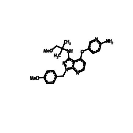 COCC(C)(C)Nc1nn(Cc2ccc(OC)cc2)c2nccc(Oc3ccc(N)nc3)c12